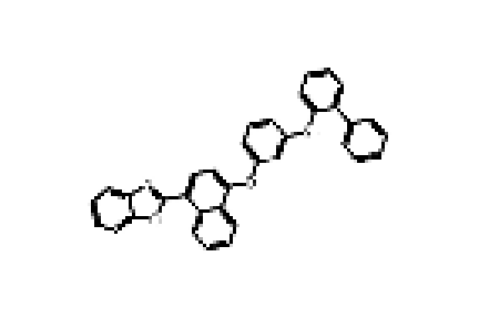 c1ccc(-c2ccccc2Nc2cccc(Oc3ccc(-c4nc5ccccc5o4)c4ccccc34)c2)cc1